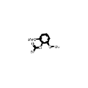 CCC(=O)Oc1c(OC)cccc1OC(C)(C)C